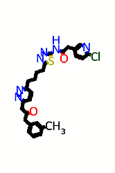 Cc1cccc(CC(=O)Cc2ccc(CCCCc3nnc(NC(=O)Cc4ccc(Cl)nc4)s3)nn2)c1